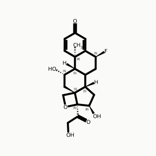 C[C@]12C=CC(=O)C=C1[C@@H](F)CC1[C@@H]2[C@@H](O)C[C@]23CO[C@]2(C(=O)CO)[C@H](O)C[C@@H]13